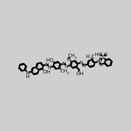 COc1cc(N=Nc2ccc(N=Nc3ccccc3S(=O)(=O)O)c(C)c2)c(CO)cc1N=Nc1cc(O)c(N=Nc2ccc3cc(Nc4ccccc4)ccc3c2O)cc1C